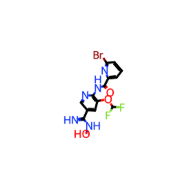 N=C(NO)c1cnc(NC(=O)c2cccc(Br)n2)c(OC(F)F)c1